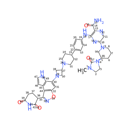 CN1CCN([C@@H]2CCCN(c3cnc(C(N)=O)c(Nc4ccc(C5CCN(C6CN(c7cc8onc(C9CCC(=O)NC9=O)c8c8cc[nH]c78)C6)CC5)cc4)n3)C2)C1=O